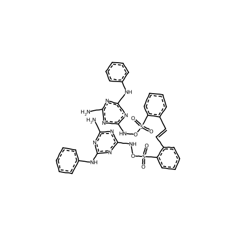 Nc1nc(NOS(=O)(=O)c2ccccc2C=Cc2ccccc2S(=O)(=O)ONc2nc(N)nc(Nc3ccccc3)n2)nc(Nc2ccccc2)n1